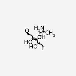 CC(N)=O.O=CC[C@@H](O)[C@H](O)[C@H](O)CF